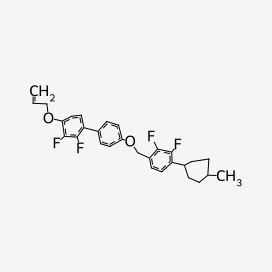 C=CCOc1ccc(-c2ccc(OCc3ccc(C4CCC(C)CC4)c(F)c3F)cc2)c(F)c1F